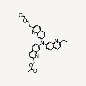 CCc1ccc2ccc(N(c3ccc4ccc(CCOC=O)nc4c3)c3ccc4ccc(COC(C)=O)nc4c3)cc2n1